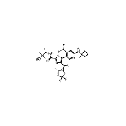 CC(NC(=O)c1nc(C(=O)N2CC(F)(F)C[C@@H]2C)c(-c2cnc(NC3(C)CCC3)cc2C(F)F)s1)C(C)(C)O